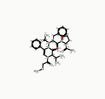 COCC(=O)N1C=C(c2ccccc2)N(N(C(C)=O)[C@@H](Cc2ccccc2)C(=O)N2CCC[C@H]2C(N)=O)C(=O)C1C(C)C